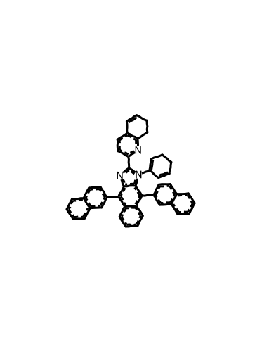 C1=CC(n2c(-c3ccc4c(n3)CCC=C4)nc3c(-c4ccc5ccccc5c4)c4ccccc4c(-c4ccc5ccccc5c4)c32)=CCC1